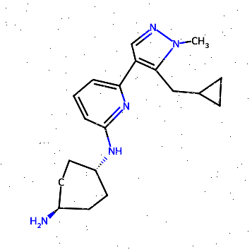 Cn1ncc(-c2cccc(N[C@H]3CC[C@H](N)CC3)n2)c1CC1CC1